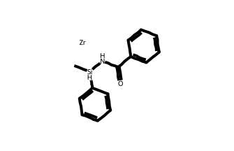 C[SiH](NC(=O)c1ccccc1)c1ccccc1.[Zr]